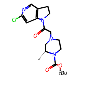 C[C@@H]1CN(CC(=O)N2CCc3cnc(Cl)cc32)CCN1C(=O)OC(C)(C)C